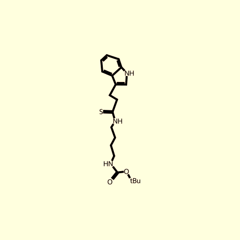 CC(C)(C)OC(=O)NCCCCNC(=S)CCc1c[nH]c2ccccc12